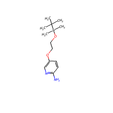 CC(C)(C)[Si](C)(C)OCCOc1ccc(N)nc1